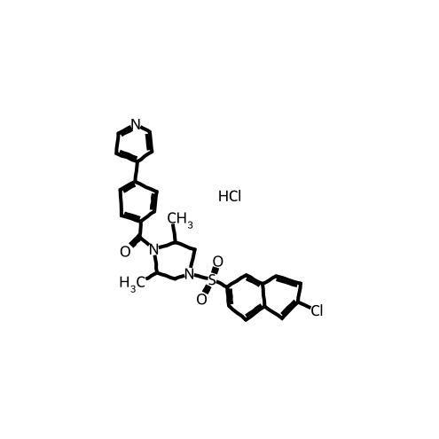 CC1CN(S(=O)(=O)c2ccc3cc(Cl)ccc3c2)CC(C)N1C(=O)c1ccc(-c2ccncc2)cc1.Cl